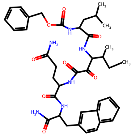 CCC(C)C(NC(=O)C(CC(C)C)NC(=O)OCc1ccccc1)C(=O)C(=O)NC(CCC(N)=O)C(=O)NC(Cc1ccc2ccccc2c1)C(N)=O